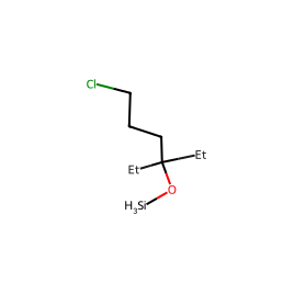 CCC(CC)(CCCCl)O[SiH3]